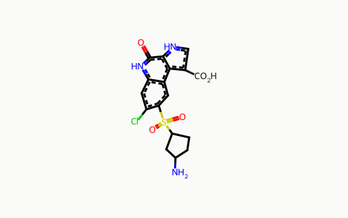 NC1CCC(S(=O)(=O)c2cc3c(cc2Cl)[nH]c(=O)c2[nH]cc(C(=O)O)c23)C1